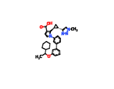 CC(Oc1cccc(-c2cccc(-n3ccc(C(=O)O)c3[C@H]3C[C@@H]3c3cn(C)nn3)c2)c1)C1CCCCC1